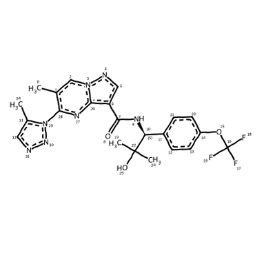 Cc1cn2ncc(C(=O)N[C@@H](c3ccc(OC(F)(F)F)cc3)C(C)(C)O)c2nc1-n1nncc1C